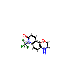 O=c1ccc2c3c(ccc2n1C(F)(F)F)NCCO3